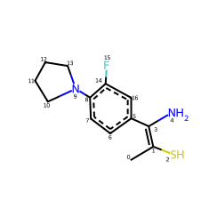 C/C(S)=C(/N)c1ccc(N2CCCC2)c(F)c1